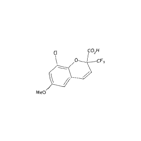 COc1cc(Cl)c2c(c1)C=CC(C(=O)O)(C(F)(F)F)O2